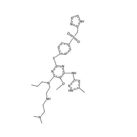 CCCN(CCNCCN(C)C)c1nc(Sc2ccc(S(=O)(=O)Cc3ncc[nH]3)cc2)nc(Nc2cc(C)[nH]n2)c1OC